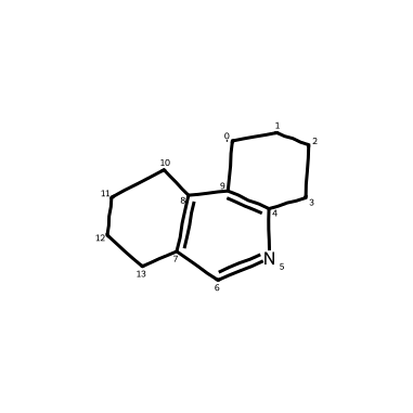 [CH]1CCCc2ncc3c(c21)CCCC3